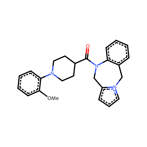 COc1ccccc1N1CCC(C(=O)N2Cc3cccn3Cc3ccccc32)CC1